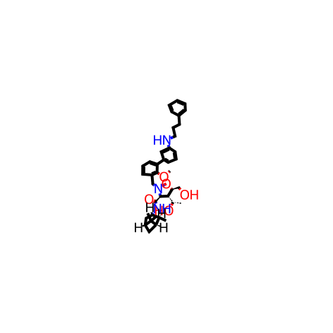 COc1c(CN2O[C@@H](CO)[C@H]([C@H](C)O)[C@H]2C(=O)N[C@H]2C[C@H]3C[C@H]([C@@H]2C)C3(C)C)cccc1-c1cccc(NCCCc2ccccc2)c1